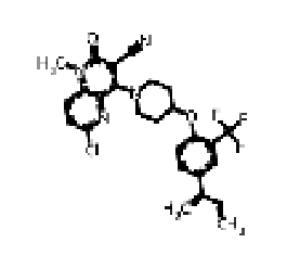 C=CC(=C)c1ccc(OC2CCN(c3c(C#N)c(=O)n(C)c4ccc(Cl)nc34)CC2)c(C(F)(F)F)c1